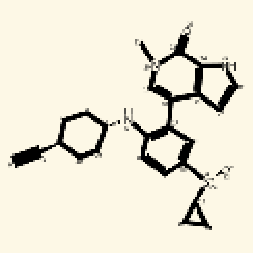 C#C[C@H]1CC[C@H](Nc2ccc([S@+]([O-])C3CC3)cc2-c2cn(C)c(=O)c3[nH]ccc23)CC1